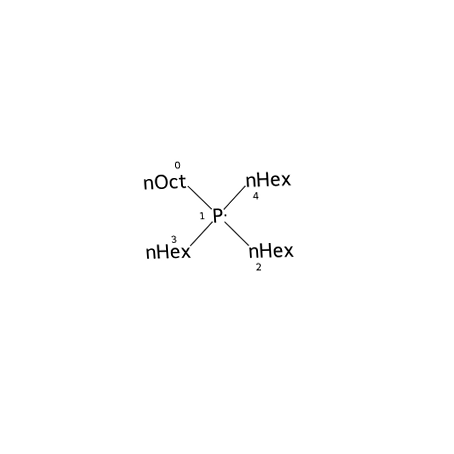 CCCCCCCC[P](CCCCCC)(CCCCCC)CCCCCC